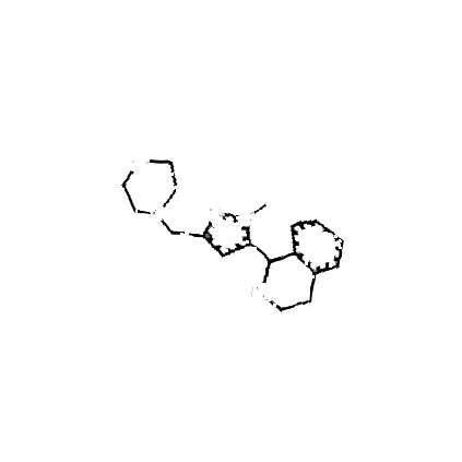 Cn1nc(CN2CCOCC2)cc1C1NCCc2ccccc21